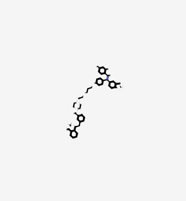 CC/C(=C(/c1ccc(OCCCOCC(=O)N2CCN(C(O)c3cc(Cc4n[nH]c(=O)c5ccccc45)ccc3F)CC2)cc1)c1ccc2[nH]ncc2c1)c1ccc(Cl)cc1F